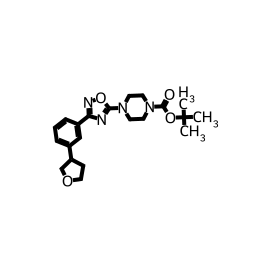 CC(C)(C)OC(=O)N1CCN(c2nc(-c3cccc(C4CCOC4)c3)no2)CC1